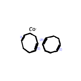 C1=C\CC/C=C\CC/1.C1=C\CC/C=C\CC/1.[Co]